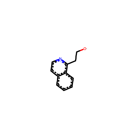 [O]CCc1nccc2ccccc12